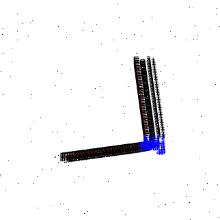 [Fe+3].[Fe+3].[Fe+3].[Fe+3].[Fe+3].[Fe+3].[Fe+3].[Fe+3].[Fe+3].[Fe+3].[Fe+3].[Fe+3].[Fe+3].[Fe+3].[Fe+3].[Fe+3].[Fe+3].[Fe+3].[Fe+3].[Fe+3].[Fe+3].[Fe+3].[Fe+3].[Fe+3].[Fe+3].[Fe+3].[Fe+3].[Fe+3].[Fe+3].[Fe+3].[Fe+3].[Fe+3].[Fe+3].[Fe+3].[Fe+3].[Fe+3].[Fe+3].[Fe+3].[Fe+3].[Fe+3].[Fe+3].[Fe+3].[Fe+3].[Fe+3].[Fe+3].[Fe+3].[Fe+3].[Fe+3].[Fe+3].[Fe+3].[Fe+3].[Fe+3].[Fe+3].[Fe+3].[Fe+3].[Fe+3].[Fe+3].[Fe+3].[Fe+3].[Fe+3].[Fe+3].[Fe+3].[Fe+3].[Fe+3].[Fe+3].[Fe+3].[Fe+3].[Fe+3].[Fe+3].[Fe+3].[Fe+3].[Fe+3].[Fe+3].[Fe+3].[Fe+3].[Fe+3].[Fe+3].[Fe+3].[Fe+3].[Fe+3].[Fe+3].[Fe+3].[Fe+3].[Fe+3].[Fe+3].[Fe+3].[Fe+3].[Fe+3].[Fe+3].[Fe+3].[Fe+3].[Fe+3].[Fe+3].[Fe+3].[Fe+3].[NH4+].[NH4+].[NH4+].[NH4+].[NH4+].[NH4+].[NH4+].[NH4+]